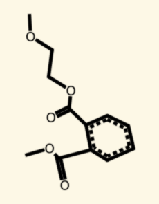 COCCOC(=O)c1ccccc1C(=O)OC